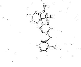 CCS(=O)(=O)[N+]1(c2ccc(Oc3ccccc3C(F)(F)F)cc2)CC=CC=C1CN